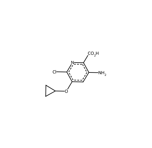 Nc1cc(OC2CC2)c(Cl)nc1C(=O)O